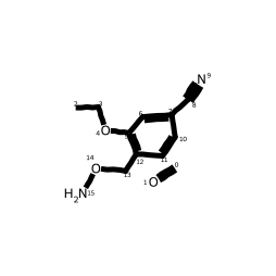 C=O.CCOc1cc(C#N)ccc1CON